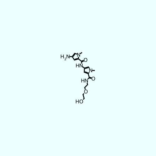 Cn1cc(NC(=O)c2cc(N)cn2C)cc1C(=O)NCCOCCO